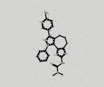 CN(C)C(=O)Nc1nc2c(s1)-c1c(c(-c3ccc(N)nc3)nn1-c1ccccc1)CCC2